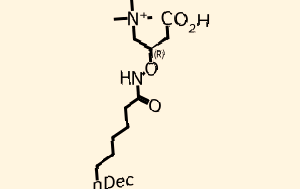 CCCCCCCCCCCCCCCC(=O)NO[C@H](CC(=O)O)C[N+](C)(C)C